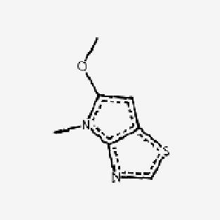 COc1cc2scnc2n1C